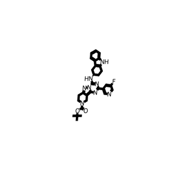 CC(C)(C)OC(=O)N1CCc2nn3c(N[C@@H]4CCc5[nH]c6ccccc6c5C4)nc(-c4cncc(F)c4)nc3c2C1